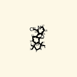 CC1(C)CCC(C)(C)c2c1ccc1c2oc2ccnc(Cl)c21